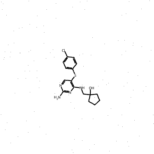 Nc1ncc(Sc2ccc(Cl)cc2)c(NCC2(O)CCCC2)n1